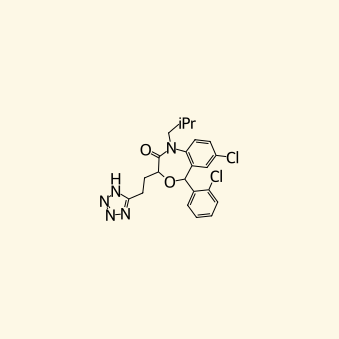 CC(C)CN1C(=O)C(CCc2nnn[nH]2)OC(c2ccccc2Cl)c2cc(Cl)ccc21